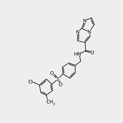 Cc1cc(Cl)cc(S(=O)(=O)c2ccc(CNC(=O)c3cnc4nccn4c3)cc2)c1